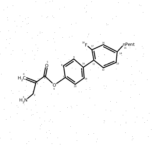 C=C(CN)C(=O)Oc1ccc(-c2ccc(CCCCC)cc2F)cc1